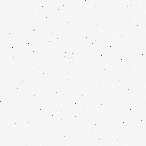 O=C(CCCCCc1cccc(F)c1)N1CCOC1=O